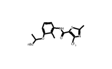 CCCCC(C)Oc1cccc(NC(=O)c2sc(C)nc2C(F)(F)F)c1C